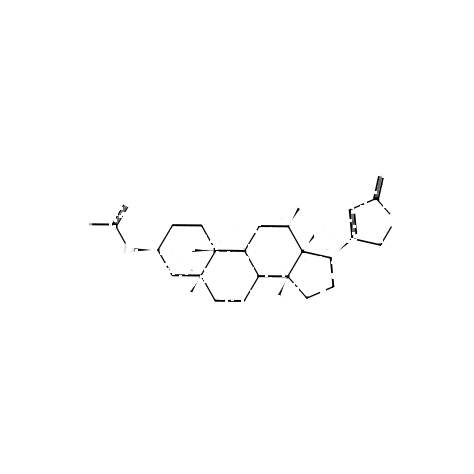 C[C@]12CC[C@H](NC(=O)O)C[C@H]1CCC1[C@@H]2C[C@@H](O)[C@]2(C)[C@@H](C3=CC(=O)OC3)CC[C@]12O